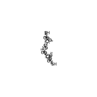 COc1cc(COC(=O)CC(C)CC(=O)OCc2ccc(OC(=O)CCS)c(OC)c2)ccc1OC(=O)CCS